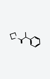 CC(C(=O)N1CCC1)c1ccccc1